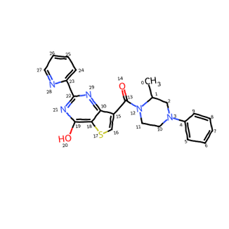 CC1CN(c2ccccc2)CCN1C(=O)c1csc2c(O)nc(-c3ccccn3)nc12